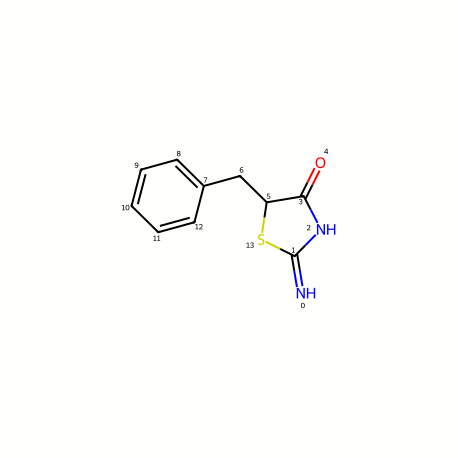 N=C1NC(=O)C(Cc2ccccc2)S1